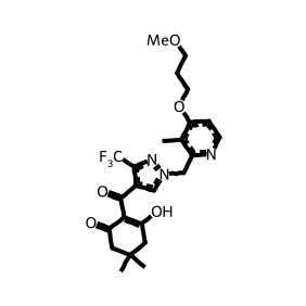 COCCCOc1ccnc(Cn2cc(C(=O)C3=C(O)CC(C)(C)CC3=O)c(C(F)(F)F)n2)c1C